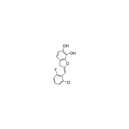 Oc1ccc2c(c1O)OC(=Cc1c(F)cccc1Cl)C2